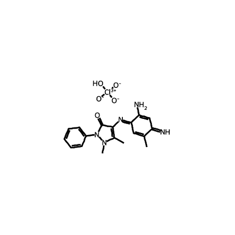 CC1=C/C(=N\c2c(C)n(C)n(-c3ccccc3)c2=O)C(N)=CC1=N.[O-][Cl+3]([O-])([O-])O